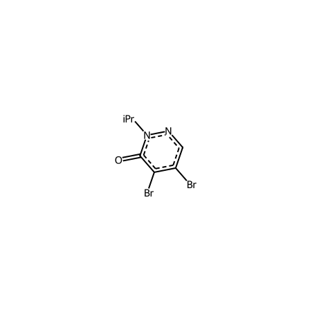 CC(C)n1ncc(Br)c(Br)c1=O